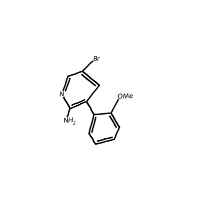 COc1ccccc1-c1cc(Br)cnc1N